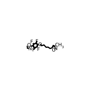 Cc1cc(CCCCCOc2c(F)c(F)c(C3=NCCO3)c(F)c2F)on1